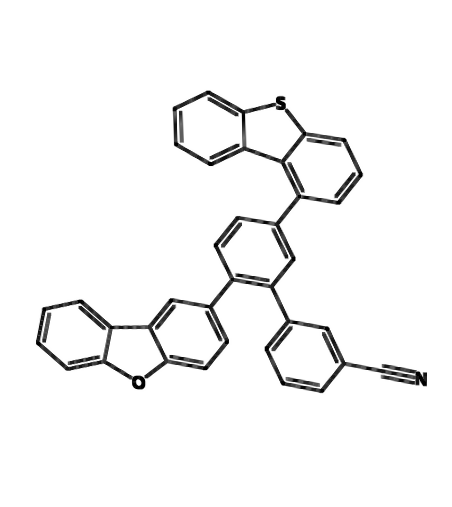 N#Cc1cccc(-c2cc(-c3cccc4sc5ccccc5c34)ccc2-c2ccc3oc4ccccc4c3c2)c1